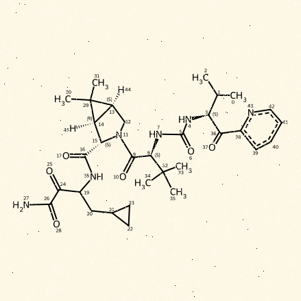 CC(C)[C@H](NC(=O)N[C@H](C(=O)N1C[C@H]2[C@@H]([C@H]1C(=O)NC(CC1CC1)C(=O)C(N)=O)C2(C)C)C(C)(C)C)C(=O)c1ccccn1